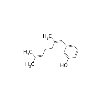 CC(C)=CCC/C(C)=C\c1cccc(O)c1